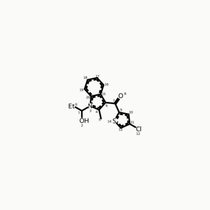 CCC(O)n1c(C)c(C(=O)c2cc(Cl)cs2)c2ccccc21